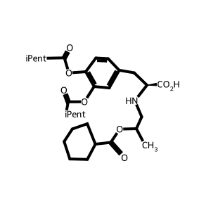 CCCC(C)C(=O)Oc1ccc(C[C@H](NCC(C)OC(=O)C2CCCCC2)C(=O)O)cc1OC(=O)C(C)CCC